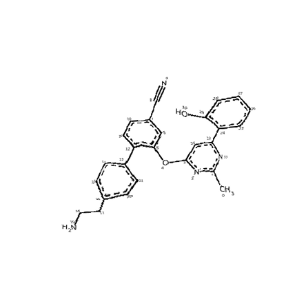 Cc1nc(Oc2cc(C#N)ccc2-c2ccc(CCN)cc2)cc(-c2ccccc2O)n1